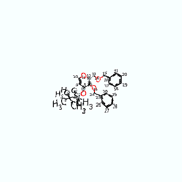 CC(C)(C)[Si](C)(C)O[C@@H]1C=CO[C@H](COCc2ccccc2)[C@H]1OCc1ccccc1